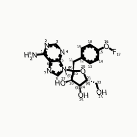 Nc1ncnc2c1ncn2[C@]1(Cc2ccc(OF)cc2)O[C@H](CO)[C@@H](O)[C@H]1O